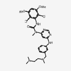 COc1cc(OC)c(Cl)c(NC(=O)N(C)c2cc(Nc3cccc(CN(C)CCN(C)C)c3)ncn2)c1Cl